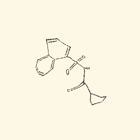 O=C(NS(=O)(=O)c1cccc2ccccc12)C1CC1